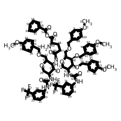 COc1ccc(COCC2O[C@@H](O[C@@H]3C(NC(=O)Nc4cccc(C(F)(F)F)c4)COC(COCc4ccc(OC)cc4)[C@@H]3NC(=O)CC[C@@H](N)C(=O)OC(=O)c3ccccc3)C(NC(=O)Nc3cccc(C(F)(F)F)c3)[C@H](OCc3ccc(OC)cc3)[C@@H]2OCc2ccc(OC)cc2)cc1